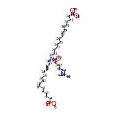 COC(=O)CCCCC/C=C\CCCCCCCCN(CCCCCCCCCCCCCCCC(=O)OC)C(=O)SCCCN(C)C